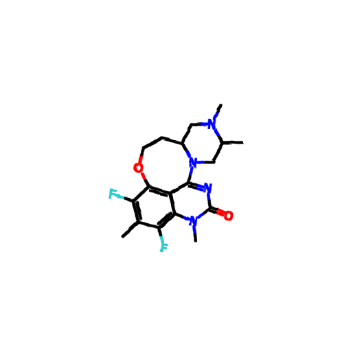 Cc1c(F)c2c3c(nc(=O)n(C)c3c1F)N1CC(C)N(C)CC1CCO2